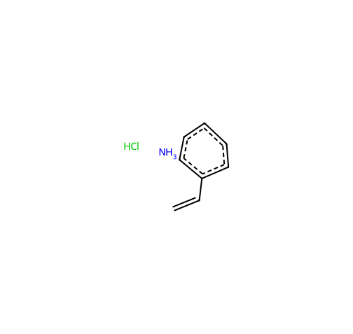 C=Cc1ccccc1.Cl.N